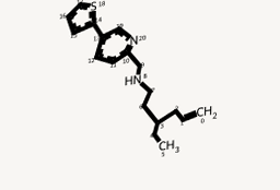 C=CCC(CC)CCNCc1ccc(-c2cccs2)cn1